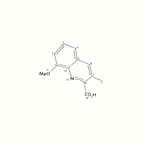 COc1cccc2cc(C)c(C(=O)O)nc12